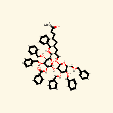 COC(=O)CCCCCCCCO[C@H]1O[C@H](COCc2ccccc2)[C@@H](OCc2ccccc2)[C@H](OCc2ccccc2)[C@@H]1O[C@@H]1O[C@H](COCc2ccccc2)[C@@H](OCc2ccccc2)[C@H](OCc2ccccc2)[C@@H]1OC(=O)c1ccccc1